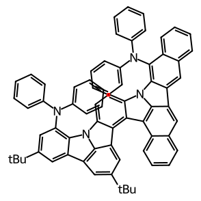 CC(C)(C)c1cc(N(c2ccccc2)c2ccccc2)c2c(c1)c1cc(C(C)(C)C)cc3c4c5c6c7ccccc7cc7c8cc9ccccc9c(N(c9ccccc9)c9ccccc9)c8n(c5ccc4n2c13)c76